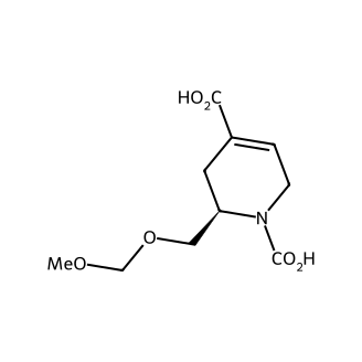 COCOC[C@H]1CC(C(=O)O)=CCN1C(=O)O